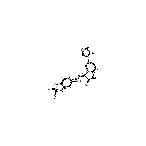 O=C1Nc2ccc(-c3cnco3)cc2C1=CNc1ccc2c(c1)CS(=O)(=O)C2